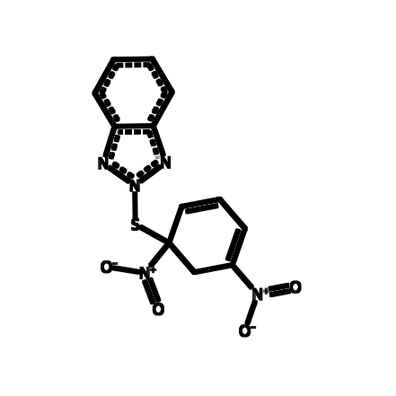 O=[N+]([O-])C1=CC=CC(Sn2nc3ccccc3n2)([N+](=O)[O-])C1